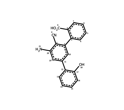 N#Cc1c(-c2ccccc2C(=O)O)cc(-c2ccccc2O)nc1N